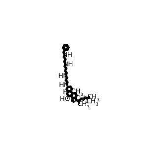 CC(C)CCC[C@@H](C)[C@H]1CCC2C3C(CC[C@@]21C)[C@@]1(C)CC[C@H](NCCCNCCCCNCCCNCc2ccccc2)C[C@H]1C[C@@H]3O